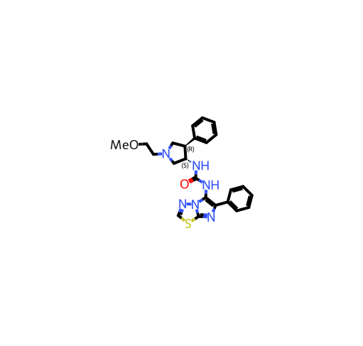 COCCN1C[C@@H](NC(=O)Nc2c(-c3ccccc3)nc3scnn23)[C@H](c2ccccc2)C1